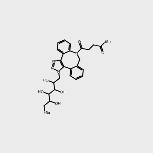 CC(C)(C)CC(O)C(O)C(O)C(O)Cn1nnc2c1-c1ccccc1CN(C(=O)CCC(=O)C(C)(C)C)c1ccccc1-2